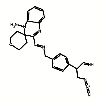 [N-]=[N+]=NCC(C=N)c1ccc(CN=NC2=Nc3ccccc3N(N)C23CCOCC3)cc1